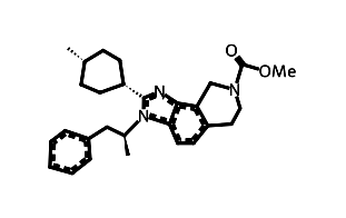 COC(=O)N1CCc2ccc3c(nc([C@H]4CC[C@@H](C)CC4)n3[C@@H](C)Cc3ccccc3)c2C1